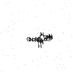 C[C@@H](Cn1cnnn1)Oc1cc(-c2cnc(Nc3cn([C@H]4CC[C@H](N5CCOCC5)CC4)nc3OCCCC#N)nc2)ccc1Cl